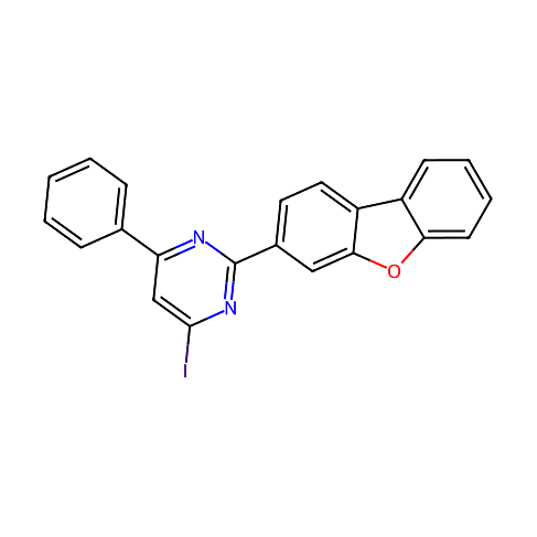 Ic1cc(-c2ccccc2)nc(-c2ccc3c(c2)oc2ccccc23)n1